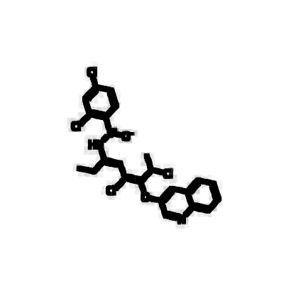 CC/C(=C\C(Cl)=C(\Oc1cnc2ccccc2c1)C(C)Cl)N[S+]([O-])c1ccc(Cl)cc1Cl